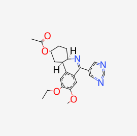 CCOc1cc2c(cc1OC)C(c1cncnc1)=N[C@@H]1CC[C@@H](OC(C)=O)C[C@H]21